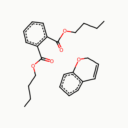 C1=Cc2ccccc2OC1.CCCCOC(=O)c1ccccc1C(=O)OCCCC